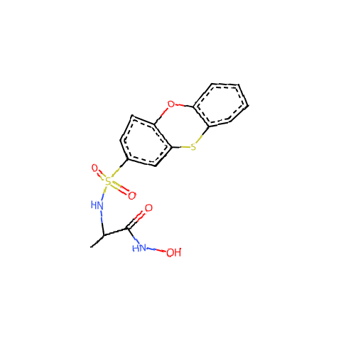 CC(NS(=O)(=O)c1ccc2c(c1)Sc1ccccc1O2)C(=O)NO